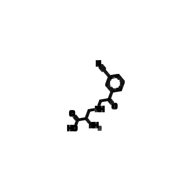 N#Cc1cccc(C(=O)CNCC(N)C(=O)O)c1